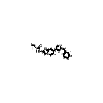 CCNC(=O)Nc1cn2ccc(-c3cnn(Cc4ccccc4)c3)cc2n1